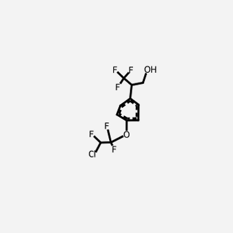 OCC(c1ccc(OC(F)(F)C(F)Cl)cc1)C(F)(F)F